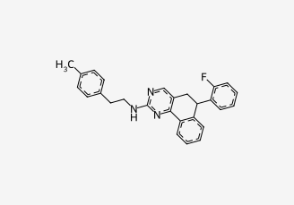 Cc1ccc(CCNc2ncc3c(n2)-c2ccccc2C(c2ccccc2F)C3)cc1